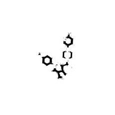 COc1ccc(-n2nc(C(=O)N3CCN(c4ccc(C)nc4)CC3)c3csc(C)c3c2=O)cc1